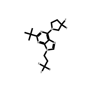 CC(C)(C)c1nc(N2CCC(F)(F)C2)c2ncn(CCC(F)(F)F)c2n1